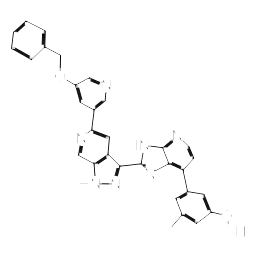 COc1cc(F)cc(-c2ccnc3[nH]c(-c4n[nH]c5cnc(-c6cncc(OCc7ccccc7)c6)cc45)nc23)c1